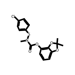 CN(Sc1ccc(Cl)cc1)C(=O)Oc1cccc2c1OC(C)(C)O2